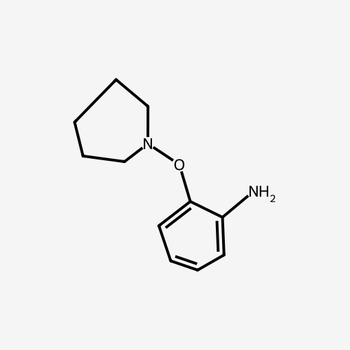 Nc1ccccc1ON1CCCCC1